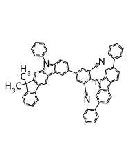 CC1(C)c2ccccc2-c2cc3c4cc(-c5cc(C#N)c(-n6c7cc(-c8ccccc8)ccc7c7ccc(-c8ccccc8)cc76)c(C#N)c5)ccc4n(-c4ccccc4)c3cc21